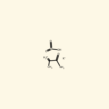 C=C(C)C(N)=O.O=[S-](=O)O.[K+]